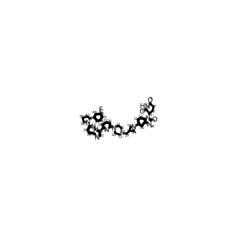 Cn1c(=O)n(C2CCC(=O)NC2=O)c2ccc(N3CC(CN4CCN(c5cccc(-c6cnc7ccc(N8CCC[C@@H]8c8cccc(F)c8)nn67)n5)CC4)C3)cc21